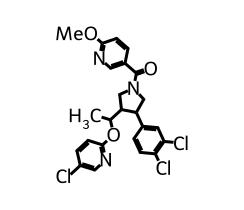 COc1ccc(C(=O)N2CC(c3ccc(Cl)c(Cl)c3)C(C(C)Oc3ccc(Cl)cn3)C2)cn1